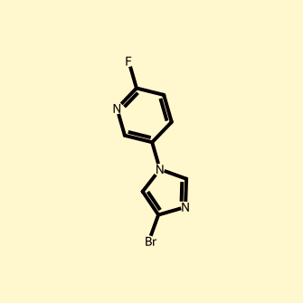 Fc1ccc(-n2cnc(Br)c2)cn1